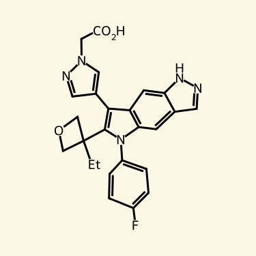 CCC1(c2c(-c3cnn(CC(=O)O)c3)c3cc4[nH]ncc4cc3n2-c2ccc(F)cc2)COC1